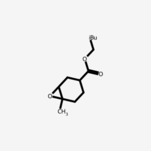 CCC(C)COC(=O)C1CCC2(C)OC2C1